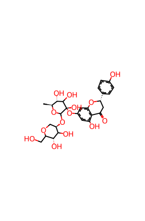 C[C@@H]1OC(O[C@@H]2COC(CO)[C@@H](O)C2O)[C@@](O)(Oc2cc(O)c3c(c2)O[C@H](c2ccc(O)cc2)CC3=O)C(O)[C@H]1O